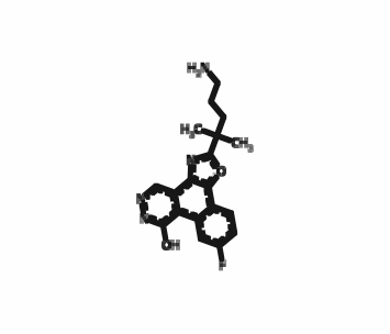 CC(C)(CCCN)c1nc2c3cnnc(O)c3c3cc(F)ccc3c2o1